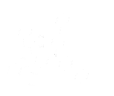 CC1(C)c2ccccc2C2=CC=C(C3(c4ccc(N(c5ccc(-c6ccccc6)cc5)C5C=CC(c6ccccc6)=CC5)cc4)c4ccccc4-c4ccccc43)CC21